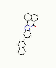 O=c1c2cccc3cccc(c32)c2nc3cc(-c4ccc5ccccc5c4)ccc3n12